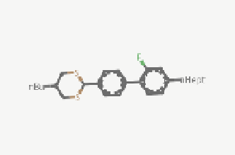 CCCCCCCc1ccc(-c2ccc(C3SCC(CCCC)CS3)cc2)c(F)c1